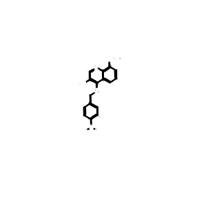 COc1cccc2c(NCc3ccc(P(O)O)cc3)c(C#N)cnc12